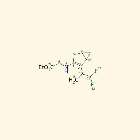 C=C(C1=C(NCC(=O)OCC)CC2CC12)C(F)F